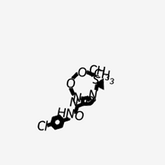 CC1(C)COCCOCCN2N=C(C(=O)NCc3ccc(Cl)cc3)C3CCN(CC4(CC4)S1)C(=O)C32